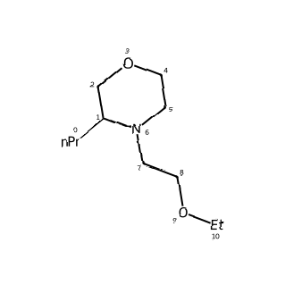 CCCC1COCCN1CCOCC